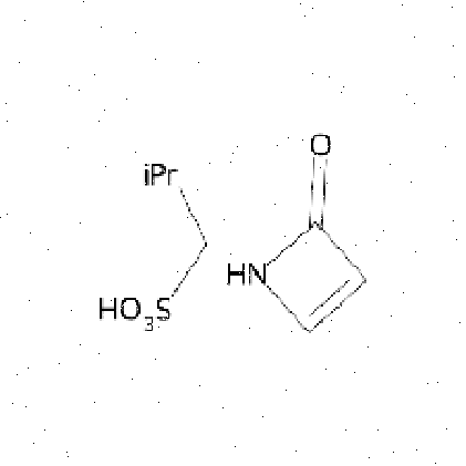 CC(C)CS(=O)(=O)O.O=C1C=CN1